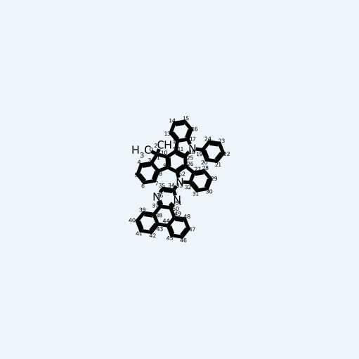 CC1(C)c2ccccc2-c2c1c1c3ccccc3n(-c3ccccc3)c1c1c3ccccc3n(-c3cnc4c5ccccc5c5ccccc5c4n3)c21